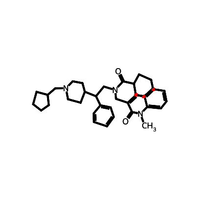 Cn1c(=O)c(CN(CC(c2ccccc2)C2CCN(CC3CCCC3)CC2)C(=O)C2CCCCC2)cc2ccccc21